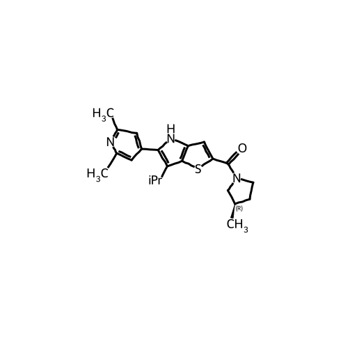 Cc1cc(-c2[nH]c3cc(C(=O)N4CC[C@@H](C)C4)sc3c2C(C)C)cc(C)n1